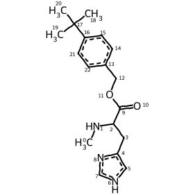 CNC(Cc1c[nH]cn1)C(=O)OCc1ccc(C(C)(C)C)cc1